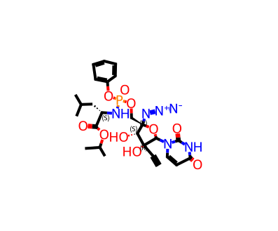 C#C[C@]1(O)C(n2ccc(=O)[nH]c2=O)O[C@@](COP(=O)(N[C@@H](CC(C)C)C(=O)OC(C)C)Oc2ccccc2)(N=[N+]=[N-])[C@H]1O